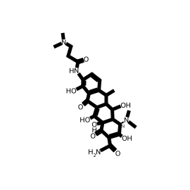 CC1c2ccc(NC(=O)CCN(C)C)c(O)c2C(=O)C2=C(O)C3(O)C(=O)C(C(N)=O)=C(O)[C@@H](N(C)C)C3C(O)C21